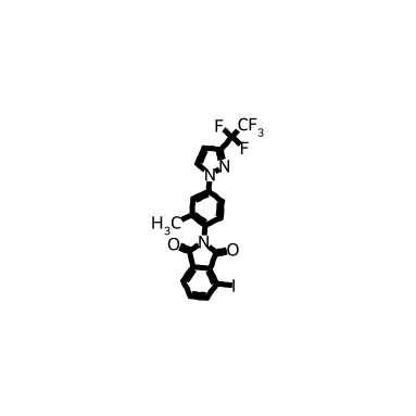 Cc1cc(-n2ccc(C(F)(F)C(F)(F)F)n2)ccc1N1C(=O)c2cccc(I)c2C1=O